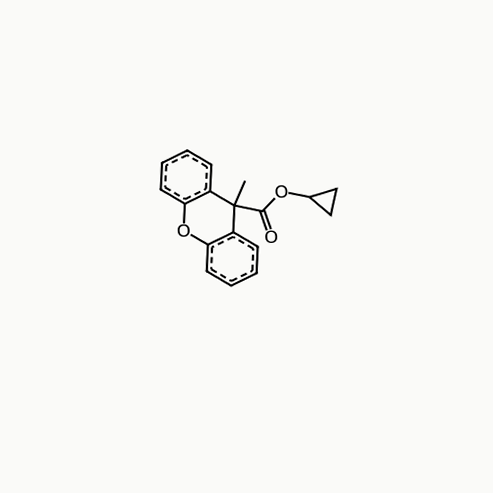 CC1(C(=O)OC2CC2)c2ccccc2Oc2ccccc21